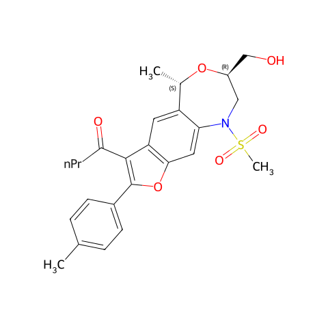 CCCC(=O)c1c(-c2ccc(C)cc2)oc2cc3c(cc12)[C@H](C)O[C@@H](CO)CN3S(C)(=O)=O